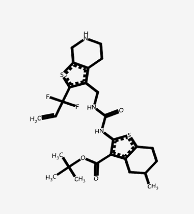 C=CC(F)(F)c1sc2c(c1CNC(=O)Nc1sc3c(c1C(=O)OC(C)(C)C)CC(C)CC3)CCNC2